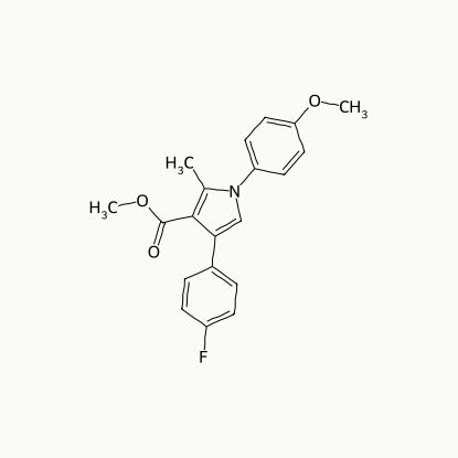 COC(=O)c1c(-c2ccc(F)cc2)cn(-c2ccc(OC)cc2)c1C